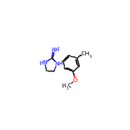 COc1cccc(C)c1.N=C1NCCN1